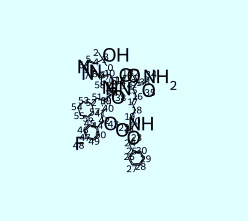 CC(C)(O)c1cnnn1[C@H]1C[C@@H](C(=O)NC(CCCCNC(=O)OCc2ccccc2)C(=O)C(N)=O)N(C(=O)[C@H](CCC(=O)c2ccc(F)cc2)CC2CCCCC2)C1